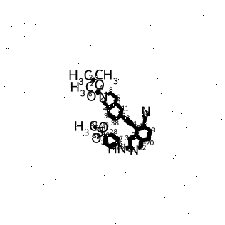 CC(C)(C)OC(=O)N1CCc2cc(C#Cc3c(C#N)ccc4cnc(Nc5ccc(S(C)(=O)=O)cc5)cc34)ccc2C1